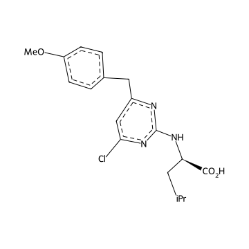 COc1ccc(Cc2cc(Cl)nc(N[C@H](CC(C)C)C(=O)O)n2)cc1